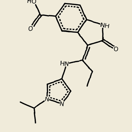 CCC(Nc1cnn(C(C)C)c1)=C1C(=O)Nc2ccc(C(=O)O)cc21